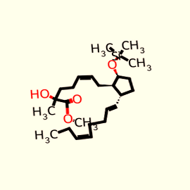 CC/C=C\CC/C=C/[C@H]1CC[C@H](O[Si](C)(C)C)[C@@H]1C/C=C\CCC(C)(O)C(=O)OC